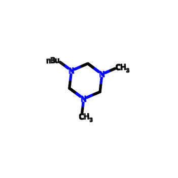 CCCCN1CN(C)CN(C)C1